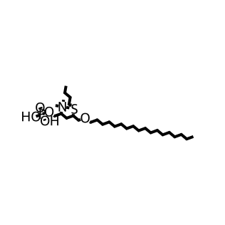 CCCCCCCCCCCCCCCCCCOCC(CC(COP(=O)(O)O)[N+](C)(C)C)SCCCC